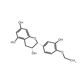 CCOc1ccc([C@H]2Oc3cc(O)cc(O)c3C[C@H]2O)cc1O